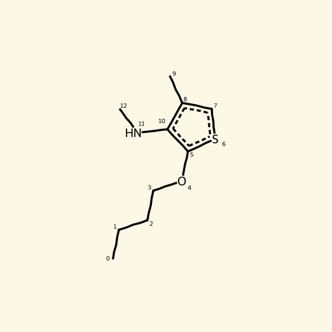 CCCCOc1scc(C)c1NC